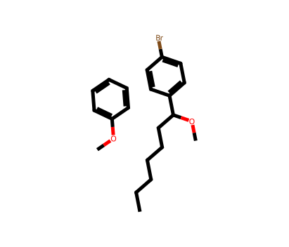 CCCCCCC(OC)c1ccc(Br)cc1.COc1ccccc1